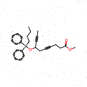 CC#CC(CC#CCCC(=O)OC)O[Si](CCCC)(c1ccccc1)c1ccccc1